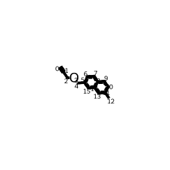 C#CCOCc1ccc2ccc(C)cc2c1